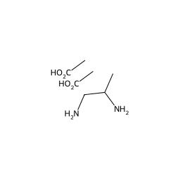 CC(=O)O.CC(=O)O.CC(N)CN